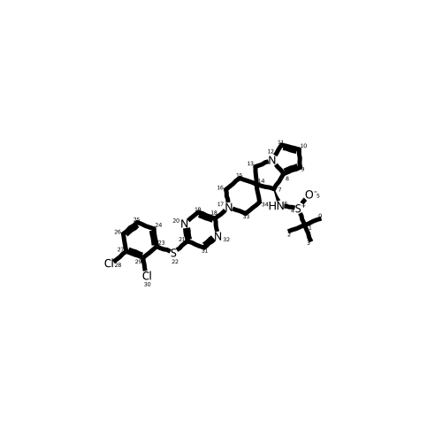 CC(C)(C)[S+]([O-])N[C@@H]1c2cccn2CC12CCN(c1cnc(Sc3cccc(Cl)c3Cl)cn1)CC2